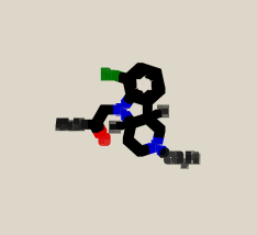 CCOC(=O)N1CC[C@H]2[C@@H](C1)c1cccc(Br)c1N2CC(=O)NC